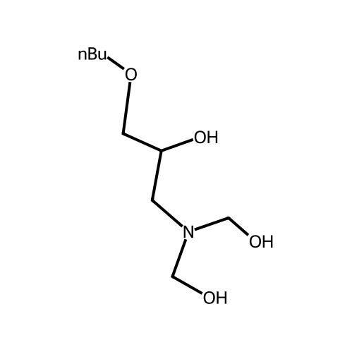 CCCCOCC(O)CN(CO)CO